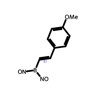 COc1ccc(/C=C/B(N=O)N=O)cc1